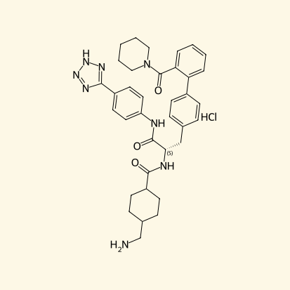 Cl.NCC1CCC(C(=O)N[C@@H](Cc2ccc(-c3ccccc3C(=O)N3CCCCC3)cc2)C(=O)Nc2ccc(-c3nn[nH]n3)cc2)CC1